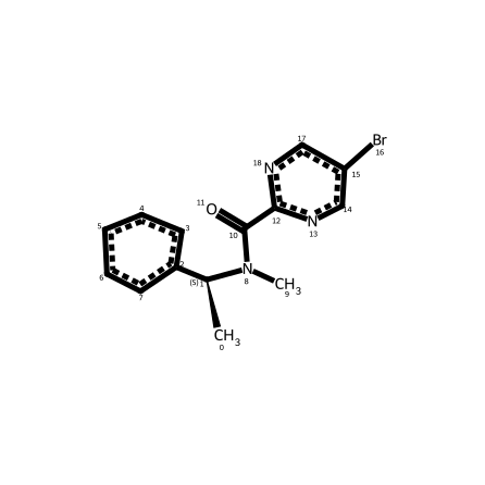 C[C@@H](c1ccccc1)N(C)C(=O)c1ncc(Br)cn1